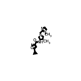 C[C@@H]1CN(Cc2nccn2C)C[C@@H]1NC(=O)c1cc(C2CC2)on1